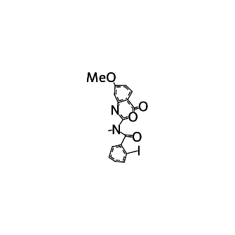 COc1ccc2c(=O)oc(N(C)C(=O)c3ccccc3I)nc2c1